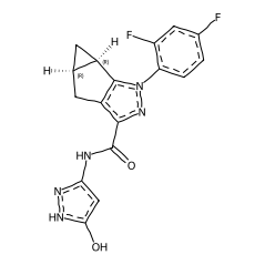 O=C(Nc1cc(O)[nH]n1)c1nn(-c2ccc(F)cc2F)c2c1C[C@H]1C[C@@H]21